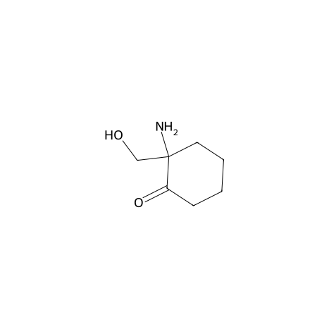 NC1(CO)CCCCC1=O